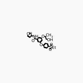 CCS(=O)(=O)c1ccc(Oc2cc(OC(C)CO)cc(C(=O)Nc3ccon3)c2)cc1